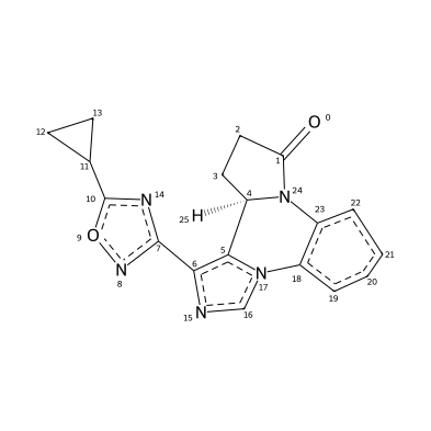 O=C1CC[C@@H]2c3c(-c4noc(C5CC5)n4)ncn3-c3ccccc3N12